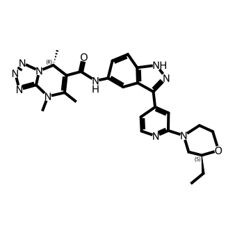 CC[C@H]1CN(c2cc(-c3n[nH]c4ccc(NC(=O)C5=C(C)N(C)c6nnnn6[C@@H]5C)cc34)ccn2)CCO1